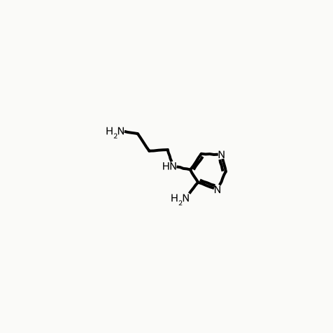 NCCCNc1cncnc1N